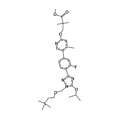 COC(=O)C(C)(C)COc1cc(C)c(-c2ccc(-c3nc(OC(C)C)n(COCCS(C)(C)C)n3)c(F)c2)cn1